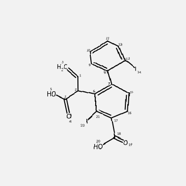 C=CC(C(=O)O)c1c(-c2ccccc2I)ccc(C(=O)O)c1I